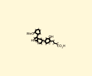 COc1ccccc1-c1c[nH]c2ncc(-c3ccc(CCCC(=O)O)c(O)c3)cc12